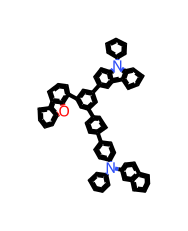 c1ccc(N(c2ccc(-c3ccc(-c4cc(-c5ccc6c(c5)c5ccccc5n6-c5ccccc5)cc(-c5cccc6c5oc5ccccc56)c4)cc3)cc2)c2ccc3ccccc3c2)cc1